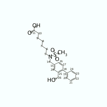 CS(=O)(=O)N(CCCCCCC(=O)O)Cc1ccc(-c2ccccc2)c(CO)c1